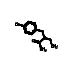 [CH2]CN(Cc1ccc(Cl)cc1)C(N)=O